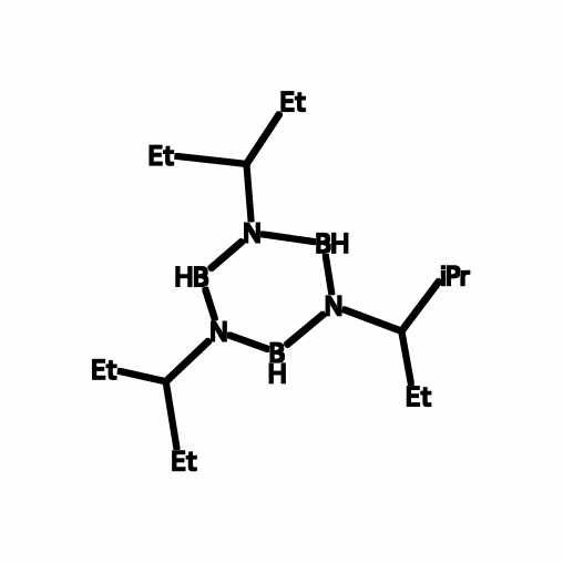 CCC(CC)N1BN(C(CC)CC)BN(C(CC)C(C)C)B1